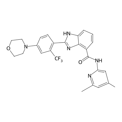 Cc1cc(C)nc(NC(=O)c2cccc3[nH]c(-c4ccc(N5CCOCC5)cc4C(F)(F)F)nc23)c1